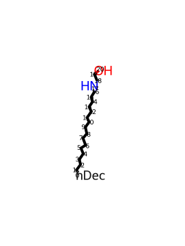 CCCCCCCCCCCCCCCCCCCCCCCCCCNCCO